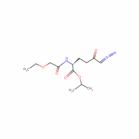 CCOCC(=O)N[C@@H](CCC(=O)C=[N+]=[N-])C(=O)OC(C)C